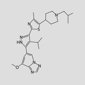 COc1cc(-c2[nH]nc(-c3nc(C)c(C4CCN(CC(C)C)CC4)s3)c2C(C)C)cn2ncnc12